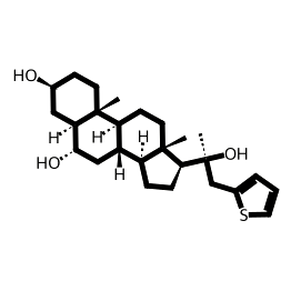 C[C@]12CC[C@H](O)C[C@@H]1[C@@H](O)C[C@@H]1[C@@H]2CC[C@@]2(C)[C@H]1CC[C@@H]2[C@@](C)(O)Cc1cccs1